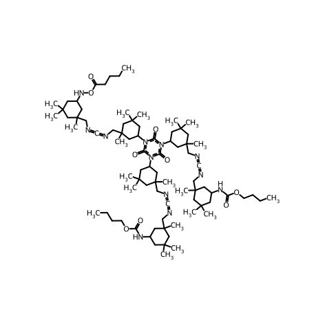 CCCCOC(=O)NC1CC(C)(C)CC(C)(CN=C=NCC2(C)CC(n3c(=O)n(C4CC(C)(C)CC(C)(CN=C=NCC5(C)CC(NOC(=O)CCCC)CC(C)(C)C5)C4)c(=O)n(C4CC(C)(C)CC(C)(CN=C=NCC5(C)CC(NC(=O)OCCCC)CC(C)(C)C5)C4)c3=O)CC(C)(C)C2)C1